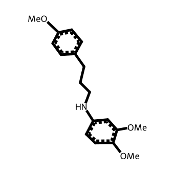 COc1ccc(CCCNc2ccc(OC)c(OC)c2)cc1